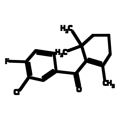 CC1=C(C(=O)c2ccc(F)c(Cl)c2)C(C)(C)CCC1